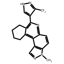 Cn1ncc2c3c4c(c(-c5c[nH]nc5C(F)(F)F)nc3ccc21)CCCC4